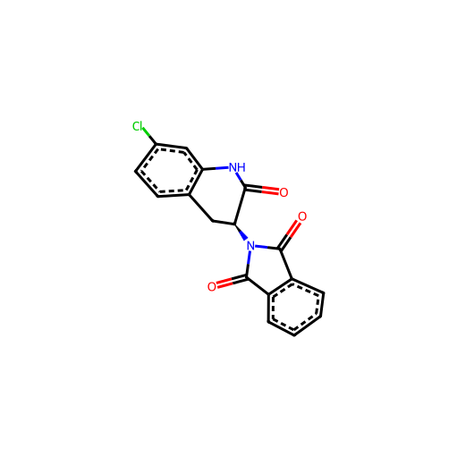 O=C1Nc2cc(Cl)ccc2C[C@@H]1N1C(=O)c2ccccc2C1=O